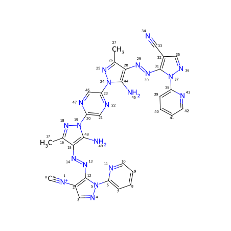 [C-]#[N+]c1cnn(-c2ccccn2)c1N=Nc1c(C)nn(-c2cnc(-n3nc(C)c(N=Nc4c(C#N)cnn4-c4ccccn4)c3N)cn2)c1N